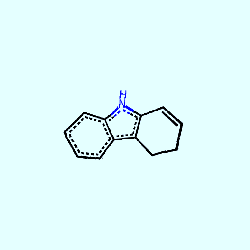 [c]1cccc2[nH]c3c(c12)CCC=C3